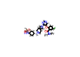 CC(C)N(C(=O)c1cc(F)ccc1Oc1cncnc1N1CC2(CCN(C[C@H]3CC[C@@H](NS(C)(=O)=O)CC3)CC2)C1)C(C)C